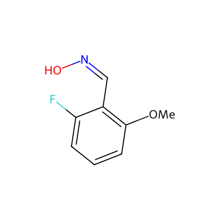 COc1cccc(F)c1/C=N\O